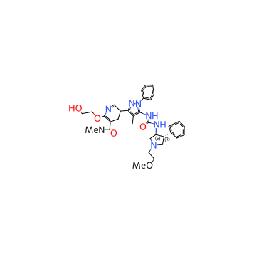 CNC(=O)C1=C(OCCO)N=CC(c2nn(-c3ccccc3)c(NC(=O)N[C@@H]3CN(CCOC)C[C@H]3c3ccccc3)c2C)C1